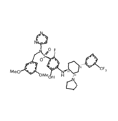 COc1cc(CN(c2ccncn2)S(=O)(=O)c2cc(O)c(N[C@H]3CC[C@H](c4cccc(C(F)(F)F)c4)C[C@@H]3N3CCCC3)cc2F)cc(OC)c1